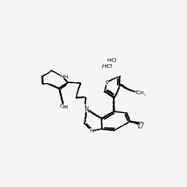 Cc1cscc1-c1cc(Cl)cc2ncn(CCCC3NCCCC3O)c12.Cl.Cl